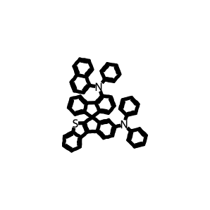 c1ccc(N(c2ccccc2)c2ccc3c(c2)C2(c4ccccc4-c4c(N(c5ccccc5)c5cccc6ccccc56)cccc42)c2sc4ccccc4c2-3)cc1